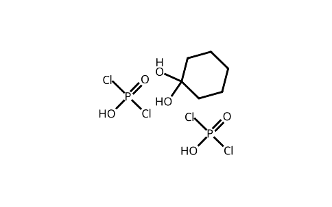 O=P(O)(Cl)Cl.O=P(O)(Cl)Cl.OC1(O)CCCCC1